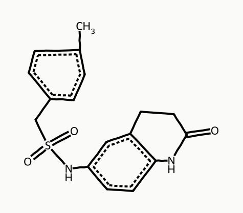 Cc1ccc(CS(=O)(=O)Nc2ccc3c(c2)CCC(=O)N3)cc1